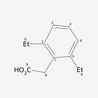 CCc1cccc(CC)c1CC(=O)O